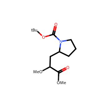 COC(=O)C(CC1CCCN1C(=O)OC(C)(C)C)OC